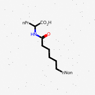 CCCCCCCCCCCCCCC(=O)NC(CCC)C(=O)O